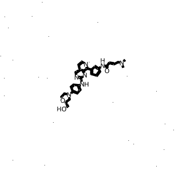 CN(C)CC=CC(=O)Nc1cccc(-c2nccc3cnc(Nc4ccc(N5CCOC(CO)C5)cc4)nc23)c1